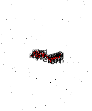 CN(CCCCc1cc(Cl)c(COC2(c3cnccc3-c3ccccc3OC3CC3)CC2)cc1Cl)C(=O)[C@H](O)[C@H](O)[C@@H](O)[C@H](O)CN1CCOCC1